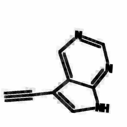 C#Cc1c[nH]c2ncncc12